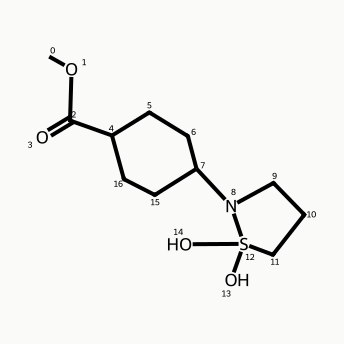 COC(=O)C1CCC(N2CCCS2(O)O)CC1